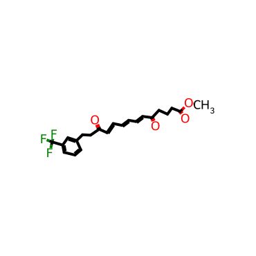 COC(=O)CCCC(=O)C=CC=CC=CC(=O)CCc1cccc(C(F)(F)F)c1